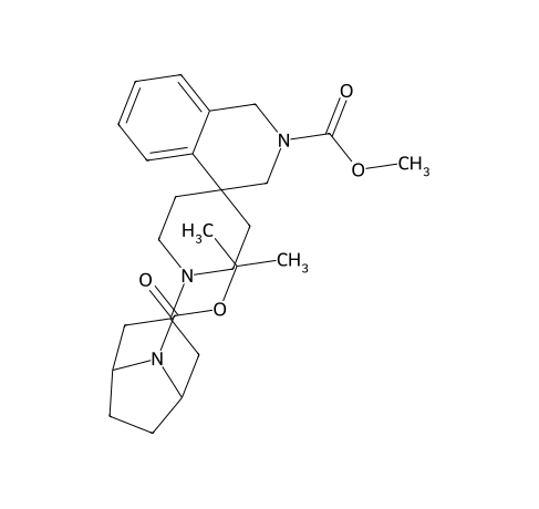 COC(=O)N1Cc2ccccc2C2(CCN(C3CC4CCC(C3)N4C(=O)OC(C)C)CC2)C1